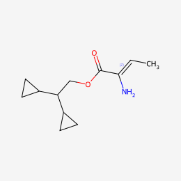 C/C=C(\N)C(=O)OCC(C1CC1)C1CC1